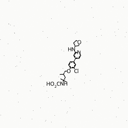 CC(COc1ccc(-c2ccnc(NC3CCOC3)c2)cc1Cl)CC(C)(C)NC(=O)O